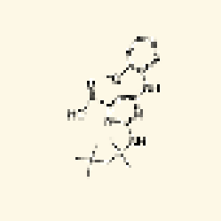 COc1ccccc1Nc1cc(C(=O)O)nc(NC(C)(C)CC(C)(C)C)n1